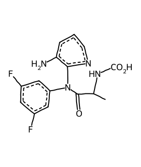 CC(NC(=O)O)C(=O)N(c1cc(F)cc(F)c1)c1ncccc1N